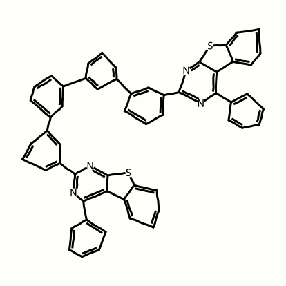 c1ccc(-c2nc(-c3cccc(-c4cccc(-c5cccc(-c6cccc(-c7nc(-c8ccccc8)c8c(n7)sc7ccccc78)c6)c5)c4)c3)nc3sc4ccccc4c23)cc1